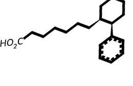 O=C(O)CCCCCC[C@H]1CCCC[C@H]1c1ccccc1